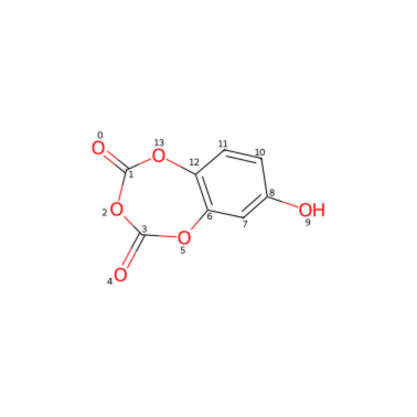 O=C1OC(=O)Oc2cc(O)ccc2O1